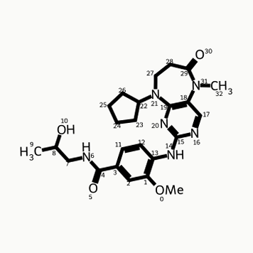 COc1cc(C(=O)NCC(C)O)ccc1Nc1ncc2c(n1)N(C1CCCC1)CCC(=O)N2C